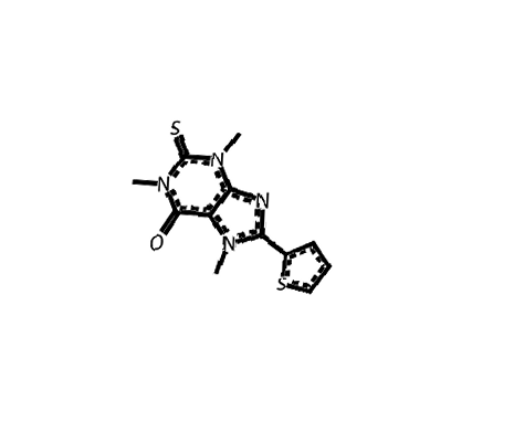 Cn1c(=O)c2c(nc(-c3cccs3)n2C)n(C)c1=S